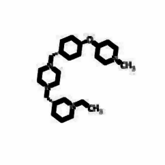 CCN1CCC[C@H](CN2CCN(C[C@H]3CC[C@H](OC4CCN(C)CC4)CC3)CC2)C1